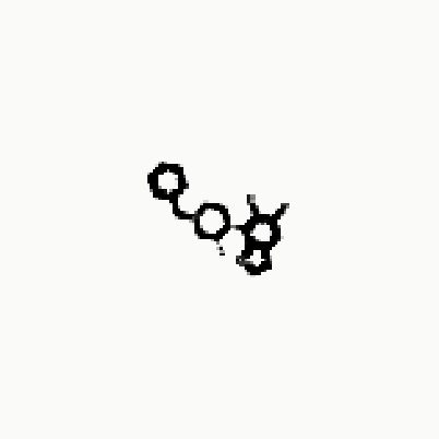 C[C@@H]1CN(Cc2ccccc2)CC[C@@H]1c1c(F)c(F)cc2ccoc12